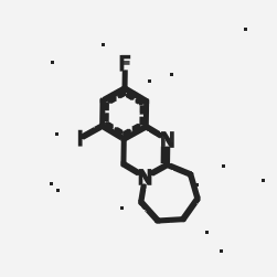 Fc1cc(I)c2c(c1)N=C1CCCCCN1C2